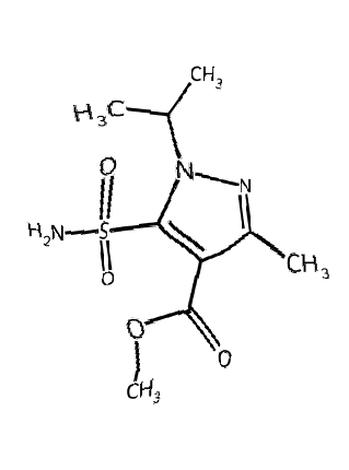 COC(=O)c1c(C)nn(C(C)C)c1S(N)(=O)=O